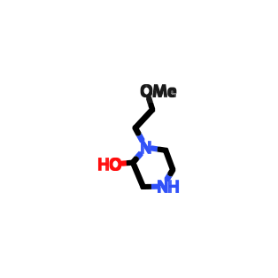 COCCN1CCNCC1O